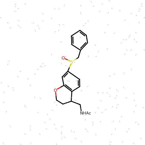 CC(=O)NCC1CCOc2cc([S+]([O-])Cc3ccccc3)ccc21